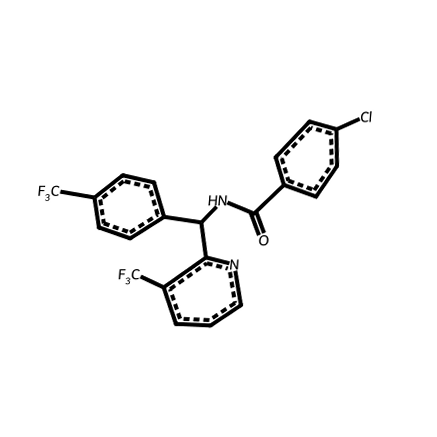 O=C(NC(c1ccc(C(F)(F)F)cc1)c1ncccc1C(F)(F)F)c1ccc(Cl)cc1